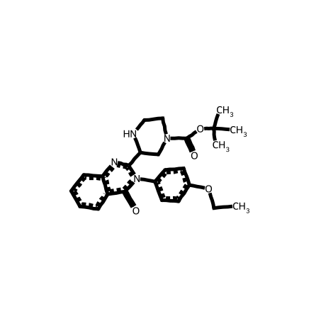 CCOc1ccc(-n2c(C3CN(C(=O)OC(C)(C)C)CCN3)nc3ccccc3c2=O)cc1